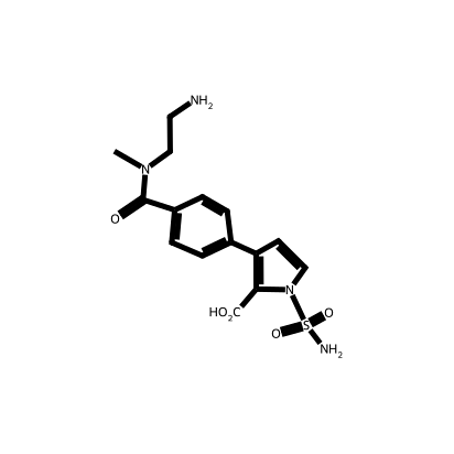 CN(CCN)C(=O)c1ccc(-c2ccn(S(N)(=O)=O)c2C(=O)O)cc1